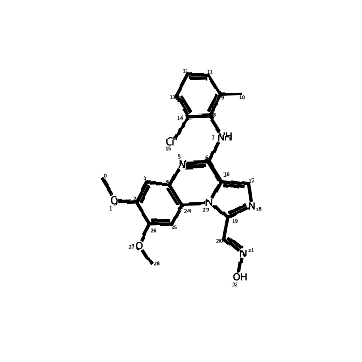 COc1cc2nc(Nc3c(C)cccc3Cl)c3cnc(C=NO)n3c2cc1OC